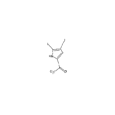 O=C(c1cc(I)c(I)[nH]1)C(Cl)(Cl)Cl